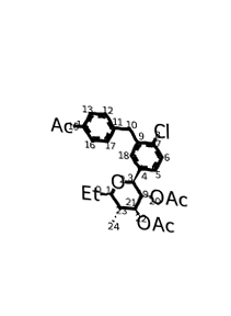 CC[C@H]1O[C@@H](c2ccc(Cl)c(Cc3ccc(C(C)=O)cc3)c2)[C@H](OC(C)=O)[C@@H](OC(C)=O)[C@@H]1C